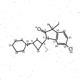 CC1(C)C(=O)N([C@]2(C)C[C@H](N3CCCCC3)C2)c2cc(Cl)ccc21